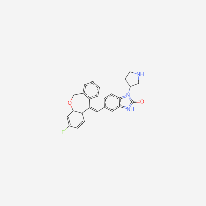 O=c1[nH]c2cc(/C=C3\c4ccccc4COC4C=C(F)C=CC34)ccc2n1C1CCNC1